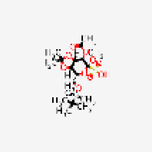 CO[C@]1(S(=O)(=O)O)O[C@H](CO[Si](C)(C)C(C)(C)C)[C@@H]2OC(C)(C)O[C@@H]2[C@H]1OC(C)=O